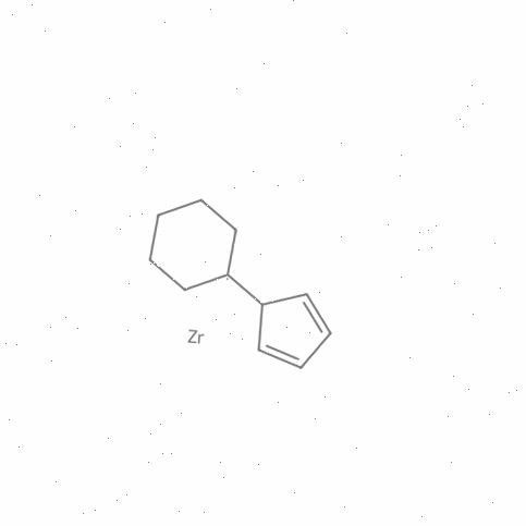 C1=CC([C]2CCCCC2)C=C1.[Zr]